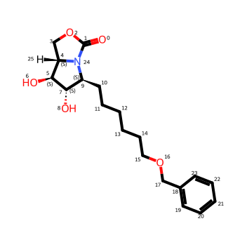 O=C1OC[C@H]2[C@H](O)[C@@H](O)[C@H](CCCCCCOCc3ccccc3)N12